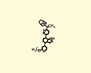 COc1cc(-c2ccc(-c3ccc(N(C)C4CC5CCC(C4)N5)nn3)c3[nH]ncc23)ccn1